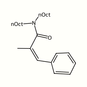 CCCCCCCCN(CCCCCCCC)C(=O)C(C)=Cc1ccccc1